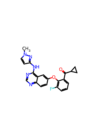 Cn1ccc(Nc2ncnc3ccc(Oc4c(F)cccc4C(=O)C4CC4)cc23)n1